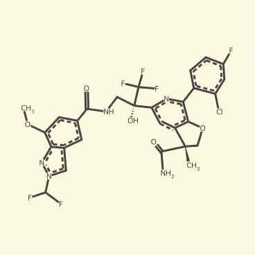 COc1cc(C(=O)NC[C@](O)(c2cc3c(c(-c4ccc(F)cc4Cl)n2)OC[C@]3(C)C(N)=O)C(F)(F)F)cc2cn(C(F)F)nc12